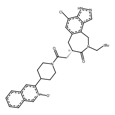 CC(C)(C)CN1Cc2c(cc(Cl)c3[nH]ncc23)C[C@@H](CC(=O)N2CCC(c3cc4ccccc4c[n+]3[O-])CC2)C1=O